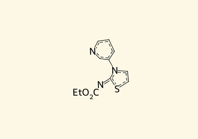 CCOC(=O)N=c1sccn1-c1cccnc1